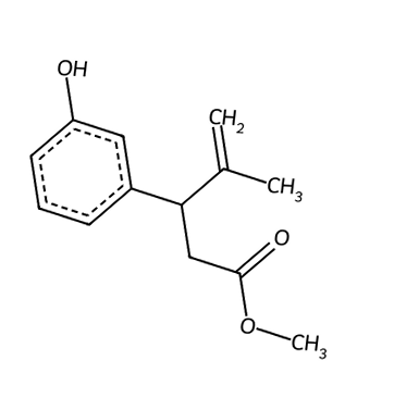 C=C(C)C(CC(=O)OC)c1cccc(O)c1